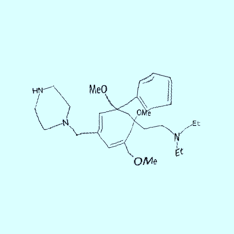 CCN(CC)CCC1(OC)C(OC)=CC(CN2CCNCC2)=CC1(OC)c1ccccc1